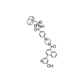 O=C(NS(=O)(=O)CC12CC3CC(CC(C3)C1)C2)c1ccc(N2CCN(C(=O)c3ccc(-c4cncc(O)c4)c4ccccc34)CC2)cc1